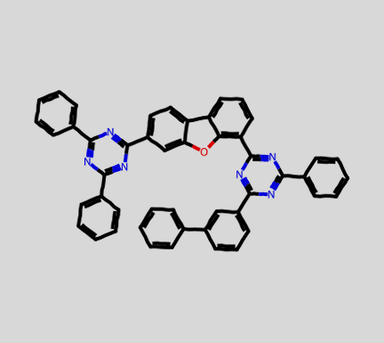 c1ccc(-c2cccc(-c3nc(-c4ccccc4)nc(-c4cccc5c4oc4cc(-c6nc(-c7ccccc7)nc(-c7ccccc7)n6)ccc45)n3)c2)cc1